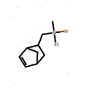 CC[Si](C)(Br)CC1CC2C=CC1C2